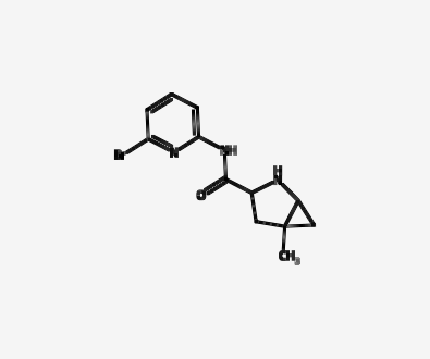 CC12CC(C(=O)Nc3cccc(Br)n3)NC1C2